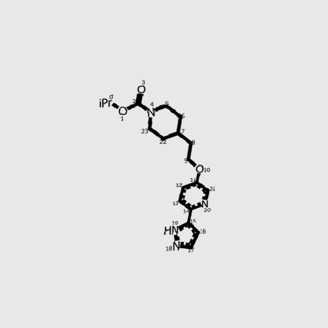 CC(C)OC(=O)N1CCC(CCOc2ccc(-c3ccn[nH]3)nc2)CC1